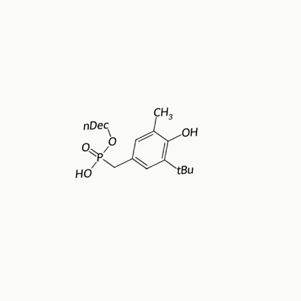 CCCCCCCCCCOP(=O)(O)Cc1cc(C)c(O)c(C(C)(C)C)c1